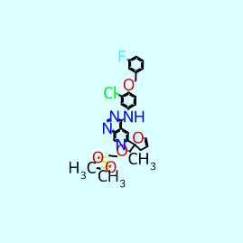 CC(OCCS(=O)(=O)C(C)C)C1(c2cc3c(Nc4ccc(OCc5cccc(F)c5)c(Cl)c4)ncnc3cn2)CC=CO1